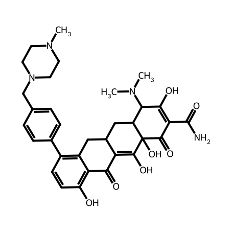 CN1CCN(Cc2ccc(-c3ccc(O)c4c3CC3CC5C(N(C)C)C(O)=C(C(N)=O)C(=O)C5(O)C(O)=C3C4=O)cc2)CC1